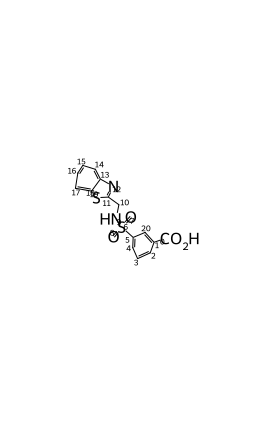 O=C(O)c1cccc(S(=O)(=O)NCc2nc3ccccc3s2)c1